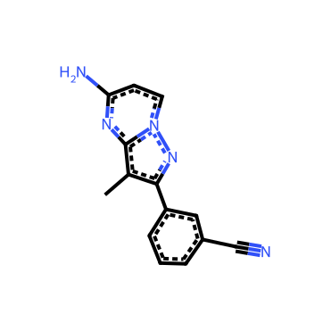 Cc1c(-c2cccc(C#N)c2)nn2ccc(N)nc12